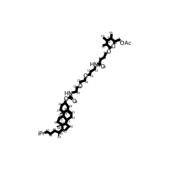 CC(=O)OCC1OC(OCCCC(=O)NCCCOCCOCCNC(=O)OC2CC[C@]3(C)C(=CCC4C3CC[C@]3(C)C4CC[C@H]3[C@@H](C)CCCC(C)C)C2)C(C)C(C)C1C